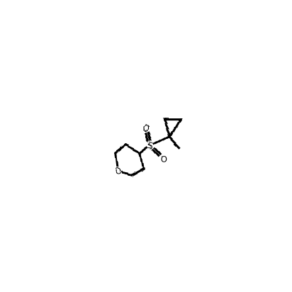 CC1(S(=O)(=O)C2CCOCC2)CC1